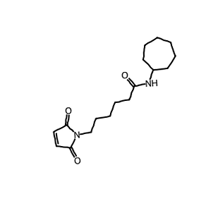 O=C(CCCCCN1C(=O)C=CC1=O)NC1CCCCCC1